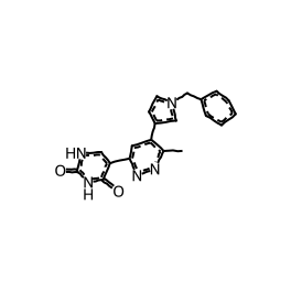 Cc1nnc(-c2c[nH]c(=O)[nH]c2=O)cc1-c1ccn(Cc2ccccc2)c1